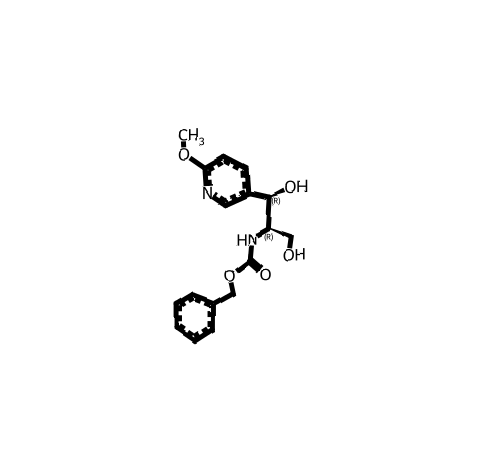 COc1ccc([C@@H](O)[C@@H](CO)NC(=O)OCc2ccccc2)cn1